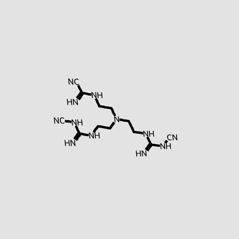 N#CNC(=N)NCCN(CCNC(=N)C#N)CCNC(=N)NC#N